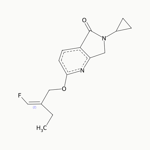 CC/C(=C/F)COc1ccc2c(n1)CN(C1CC1)C2=O